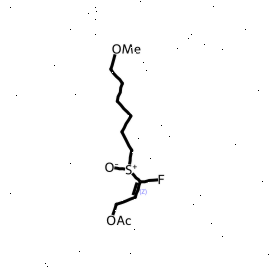 COCCCCCC[S+]([O-])/C(F)=C\COC(C)=O